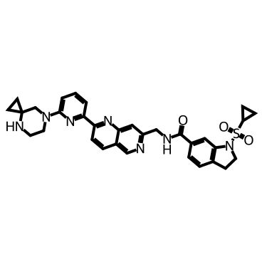 O=C(NCc1cc2nc(-c3cccc(N4CCNC5(CC5)C4)n3)ccc2cn1)c1ccc2c(c1)N(S(=O)(=O)C1CC1)CC2